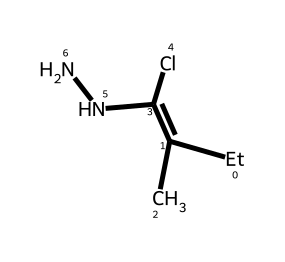 CC/C(C)=C(\Cl)NN